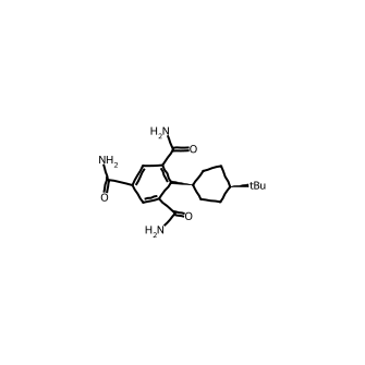 CC(C)(C)[C@H]1CC[C@@H](c2c(C(N)=O)cc(C(N)=O)cc2C(N)=O)CC1